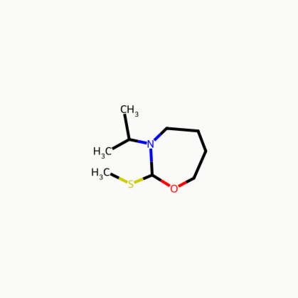 CSC1OCCCCN1C(C)C